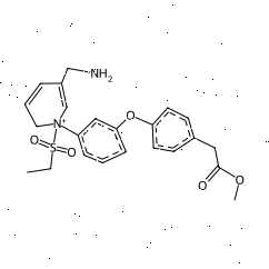 CCS(=O)(=O)[N+]1(c2cccc(Oc3ccc(CC(=O)OC)cc3)c2)C=C(CN)C=CC1